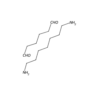 NCCCCCCCN.O=CCCCCC=O